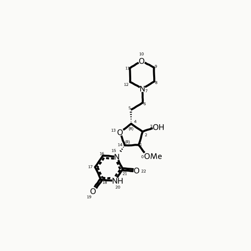 COC1C(O)[C@@H](CCN2CCOCC2)O[C@H]1n1ccc(=O)[nH]c1=O